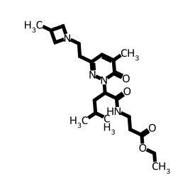 CCOC(=O)CCNC(=O)C(CC(C)C)n1nc(CCN2CC(C)C2)cc(C)c1=O